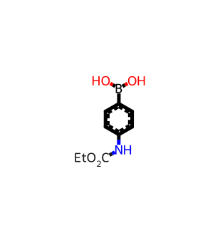 CCOC(=O)Nc1ccc(B(O)O)cc1